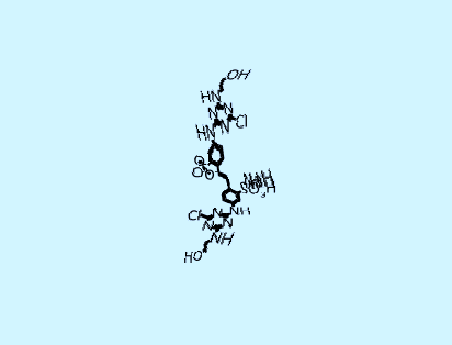 O=S(=O)([O-])c1cc(Nc2nc(Cl)nc(NCCO)n2)ccc1C=Cc1ccc(Nc2nc(Cl)nc(NCCO)n2)cc1S(=O)(=O)O.[H+].[NaH]